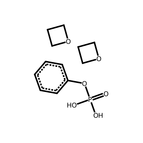 C1COC1.C1COC1.O=P(O)(O)Oc1ccccc1